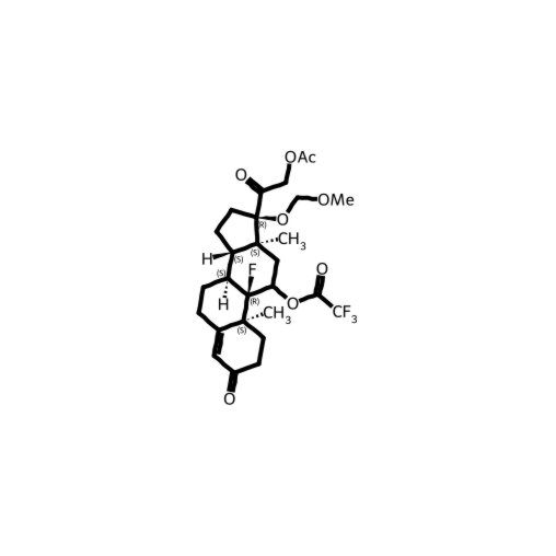 COCO[C@]1(C(=O)COC(C)=O)CC[C@H]2[C@@H]3CCC4=CC(=O)CC[C@]4(C)[C@@]3(F)C(OC(=O)C(F)(F)F)C[C@@]21C